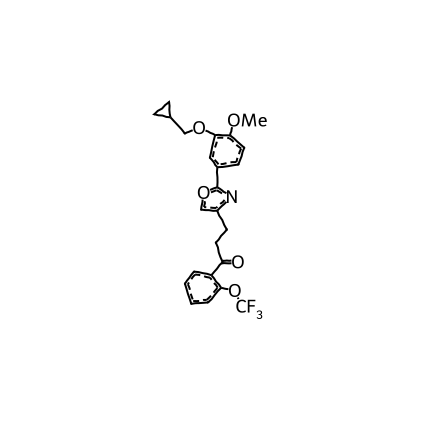 COc1ccc(-c2nc(CCC(=O)c3ccccc3OC(F)(F)F)co2)cc1OCC1CC1